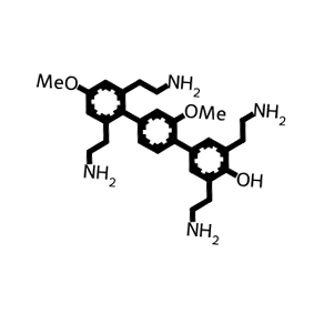 COc1cc(CCN)c(-c2ccc(-c3cc(CCN)c(O)c(CCN)c3)c(OC)c2)c(CCN)c1